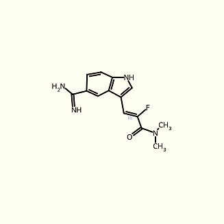 CN(C)C(=O)/C(F)=C/c1c[nH]c2ccc(C(=N)N)cc12